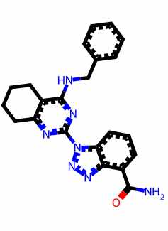 NC(=O)c1cccc2c1nnn2-c1nc2c(c(NCc3ccccc3)n1)CCCC2